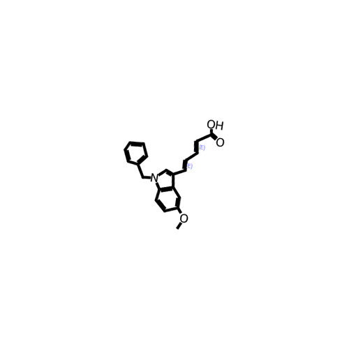 COc1ccc2c(c1)c(/C=C/C=C/C(=O)O)cn2Cc1ccccc1